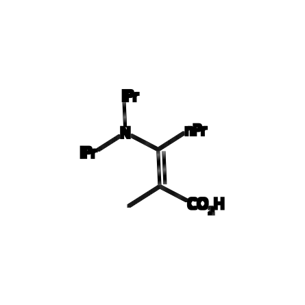 CCC/C(=C(/C)C(=O)O)N(C(C)C)C(C)C